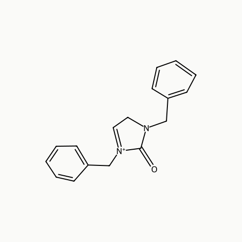 O=C1N(Cc2ccccc2)CC=[N+]1Cc1ccccc1